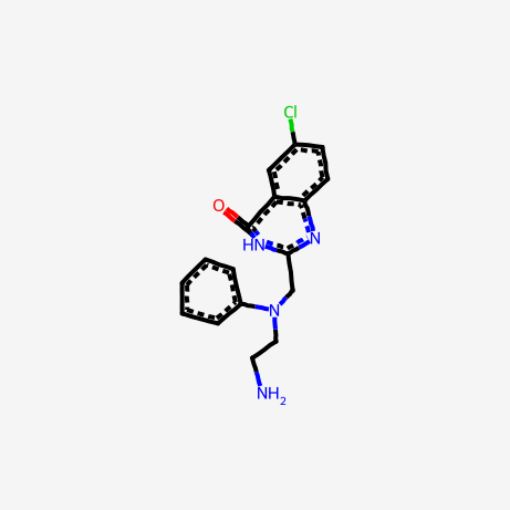 NCCN(Cc1nc2ccc(Cl)cc2c(=O)[nH]1)c1ccccc1